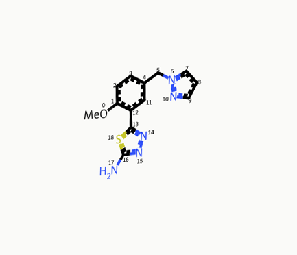 COc1ccc(Cn2cccn2)cc1-c1nnc(N)s1